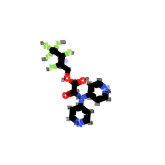 O=C(OC/C(F)=C(\F)C(F)(F)F)C(=O)N(c1ccncc1)c1ccncc1